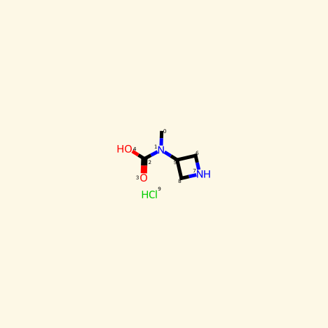 CN(C(=O)O)C1CNC1.Cl